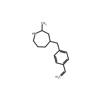 C=Cc1ccc(CC2CCCNC(C)C2)cc1